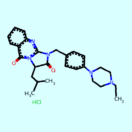 CCN1CCN(c2ccc(CN3C(=O)C(CC(C)C)n4c3nc3ccccc3c4=O)cc2)CC1.Cl